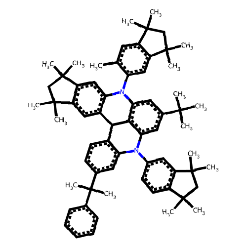 Cc1cc2c(cc1N1c3cc4c(cc3C3c5ccc(C(C)(C)c6ccccc6)cc5N(c5ccc6c(c5)C(C)(C)CC6(C)C)c5cc(C(C)(C)C)cc1c53)C(C)(C)CC4(C)C)C(C)(C)CC2(C)C